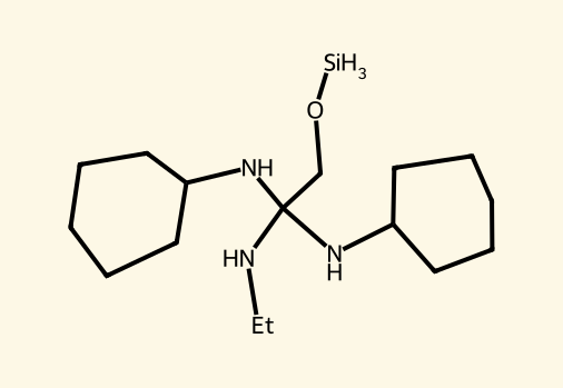 CCNC(CO[SiH3])(NC1CCCCC1)NC1CCCCC1